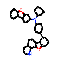 c1ccc(N(c2ccc(-c3cccc4oc5c(ccc6cccnc65)c34)cc2)c2ccc3c(c2)oc2ccccc23)cc1